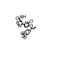 C=CC(=O)N1CCN(S(C)(=O)=O)C[C@@H]1c1cc(Cl)nc(-c2cc(C(=O)NC)ncn2)c1